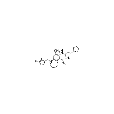 C=C(CCC1CCCC1)Nc1c(C)cc2c(c1C)CCCCN2Cc1ccc(F)s1